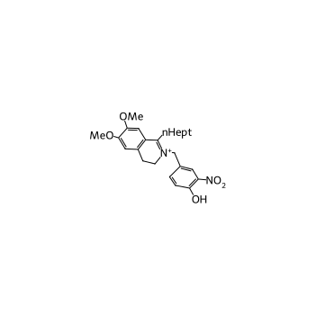 CCCCCCCC1=[N+](Cc2ccc(O)c([N+](=O)[O-])c2)CCc2cc(OC)c(OC)cc21